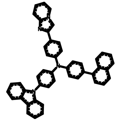 c1ccc2c(-c3ccc(N(c4ccc(-c5cn6ccccc6n5)cc4)c4ccc(-n5c6ccccc6c6ccccc65)cc4)cc3)cccc2c1